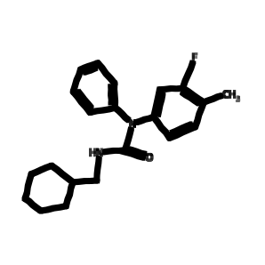 Cc1ccc(N(C(=O)NCC2CCCCC2)c2ccccc2)cc1F